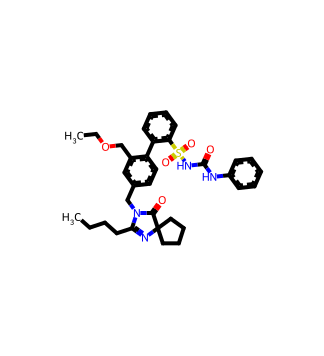 CCCCC1=NC2(CCCC2)C(=O)N1Cc1ccc(-c2ccccc2S(=O)(=O)NC(=O)Nc2ccccc2)c(COCC)c1